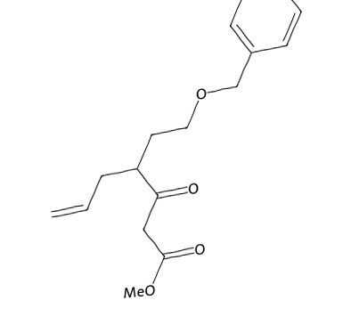 C=CCC(CCOCc1ccccc1)C(=O)CC(=O)OC